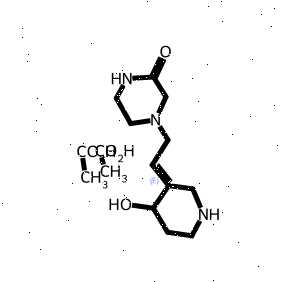 CC(=O)O.CC(=O)O.O=C1CN(C/C=C2\CNCCC2O)CCN1